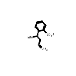 C=CCC(CCCC)c1ccccc1S(=O)(=O)O